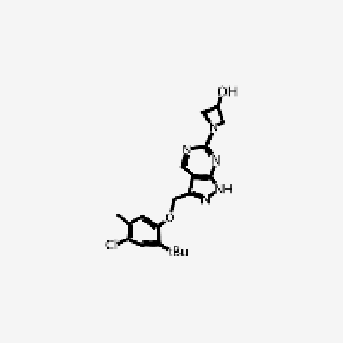 Cc1cc(OCc2n[nH]c3nc(N4CC(O)C4)ncc23)c(C(C)(C)C)cc1Cl